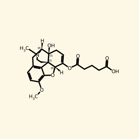 COc1ccc2c3c1O[C@H]1C(OC(=O)CCCC(=O)O)=CC[C@@]4(O)[C@@H](C2)N(C)CC[C@]314